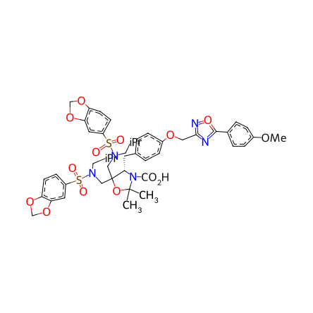 COc1ccc(-c2nc(COc3ccc(C[C@@H]4N(C(=O)O)C(C)(C)OC4(CN(CC(C)C)S(=O)(=O)c4ccc5c(c4)OCO5)CN(CC(C)C)S(=O)(=O)c4ccc5c(c4)OCO5)cc3)no2)cc1